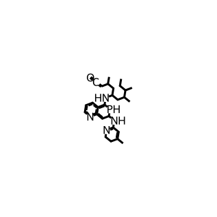 CCC(C)C(C)CC(CC(C)C=C=O)NC1=c2cccnc2=CC(NC2=NCCC(C)=C2)P1